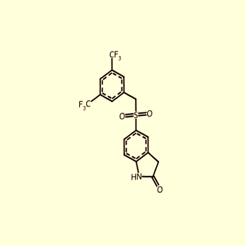 O=C1Cc2cc(S(=O)(=O)Cc3cc(C(F)(F)F)cc(C(F)(F)F)c3)ccc2N1